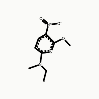 [CH2]CN(C)c1ccc([N+](=O)[O-])c(OC)n1